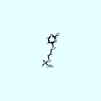 CC(C)(C)[Si](C)(C)OCCCOc1ccnc(Cl)n1